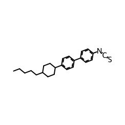 CCCCCC1CCC(c2ccc(-c3ccc(N=C=S)cc3)cc2)CC1